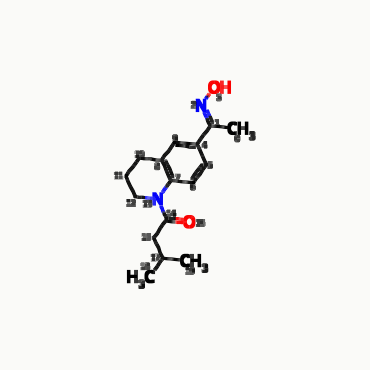 CC(=NO)c1ccc2c(c1)CCCN2C(=O)CC(C)C